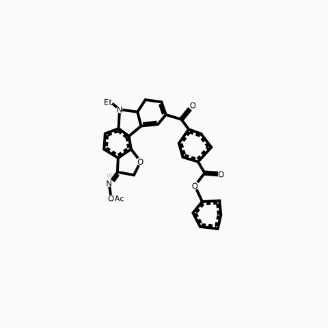 CCN1c2ccc3c(c2C2=CC(C(=O)c4ccc(C(=O)Oc5ccccc5)cc4)=CCC21)OC/C3=N\OC(C)=O